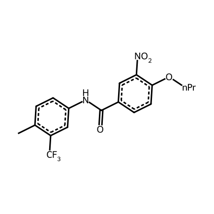 CCCOc1ccc(C(=O)Nc2ccc(C)c(C(F)(F)F)c2)cc1[N+](=O)[O-]